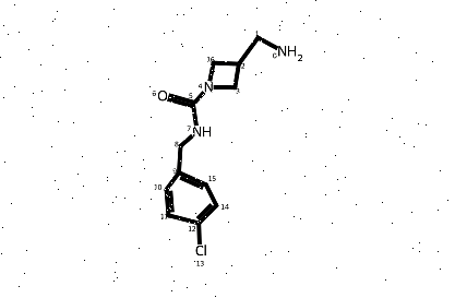 NCC1CN(C(=O)NCc2ccc(Cl)cc2)C1